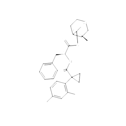 O=C(N[C@H]1CN2CCC1CC2)[C@H](Cc1ccccc1)NC(=O)C1(c2ccc(Cl)cc2Cl)CC1